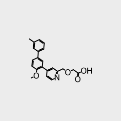 COc1ccc(-c2cccc(C)c2)cc1-c1ccnc(COCC(=O)O)c1